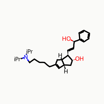 CC(C)N(CCCCCC1=C[C@H]2C[C@@H](O)[C@H](/C=C/[C@@H](O)c3ccccc3)[C@H]2C1)C(C)C